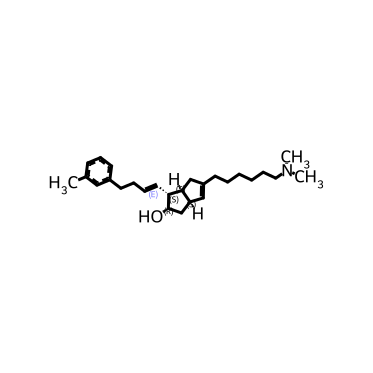 Cc1cccc(CC/C=C/[C@@H]2[C@H]3CC(CCCCCCN(C)C)=C[C@H]3C[C@H]2O)c1